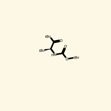 CC(C)(C)OC(=O)N[C@H](C(=O)C(C)(C)C)C(C)(C)C